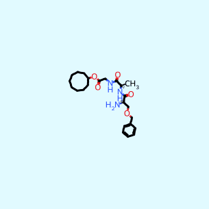 C[C@@H](NC(=O)[C@H](N)COCc1ccccc1)C(=O)NCC(=O)OC1CCCCCCCC1